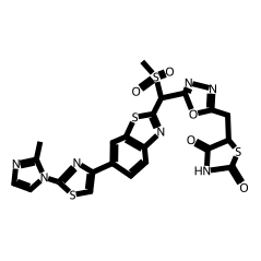 Cc1nccn1-c1nc(-c2ccc3nc(C(c4nnc(CC5SC(=O)NC5=O)o4)S(C)(=O)=O)sc3c2)cs1